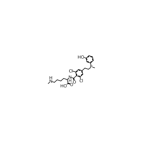 CNCCCCC(NC(=O)c1c(Cl)cc(CCP(C)c2cccc(O)c2)cc1Cl)C(=O)O